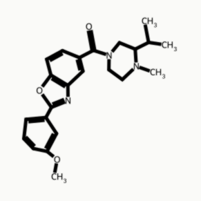 COc1cccc(-c2nc3cc(C(=O)N4CCN(C)C(C(C)C)C4)ccc3o2)c1